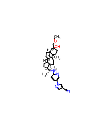 CCOC[C@@]1(O)CC[C@@]2(C)[C@H](CC[C@H]3C4CC[C@H]([C@@H](C)Nc5ccc(-n6cc(C#N)cn6)cn5)[C@@]4(C)CC[C@@H]32)C1